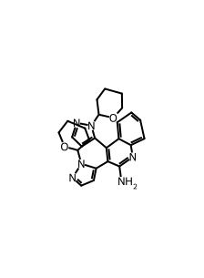 Nc1nc2ccccc2c(-c2ccnn2C2CCCCO2)c1-c1ccnn1C1CCCCO1